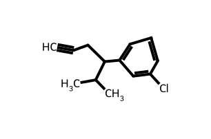 C#CCC(c1cccc(Cl)c1)C(C)C